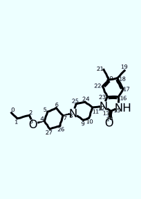 CCCO[C@H]1CC[C@@H](N2CCC(n3c(=O)[nH]c4cc(C)c(C)cc43)CC2)CC1